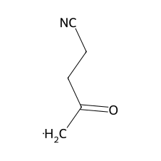 [CH2]C(=O)CCC#N